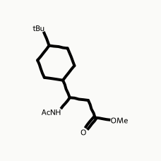 COC(=O)CC(NC(C)=O)C1CCC(C(C)(C)C)CC1